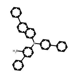 Bc1cc(N(c2ccc(-c3ccccc3)cc2)c2ccc3cc(-c4ccccc4)ccc3c2)ccc1-c1ccccc1